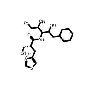 CC(C)CC(O)C(NC(=O)[C@@H](CC(=O)O)Cc1cscn1)C(O)CC1CCCCC1